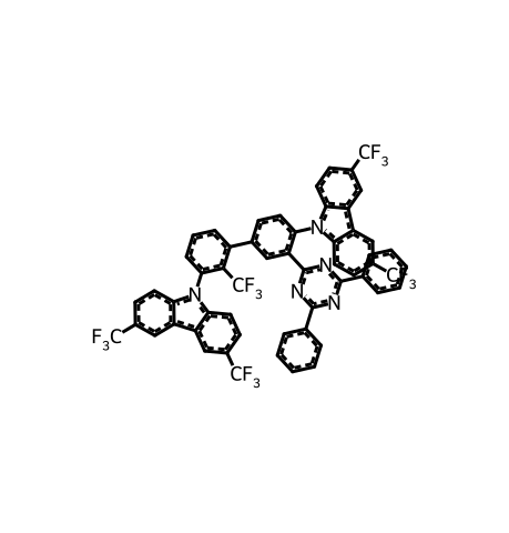 FC(F)(F)c1ccc2c(c1)c1cc(C(F)(F)F)ccc1n2-c1ccc(-c2cccc(-n3c4ccc(C(F)(F)F)cc4c4cc(C(F)(F)F)ccc43)c2C(F)(F)F)cc1-c1nc(-c2ccccc2)nc(-c2ccccc2)n1